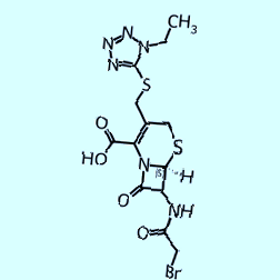 CCn1nnnc1SCC1=C(C(=O)O)N2C(=O)C(NC(=O)CBr)[C@@H]2SC1